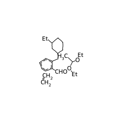 C=C.CCC1CCCC(Cc2ccccc2C=O)C1.CCOC(C)OCC